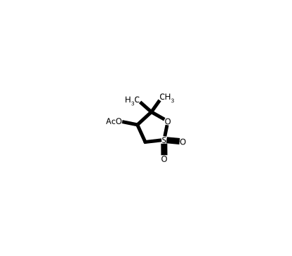 CC(=O)OC1CS(=O)(=O)OC1(C)C